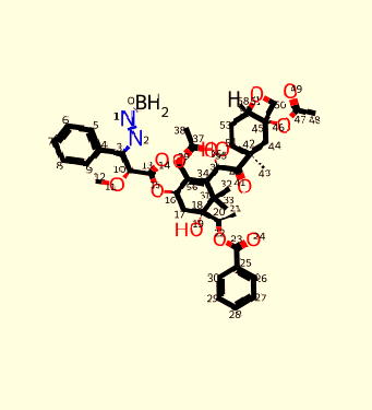 BN=N[C@H](c1ccccc1)[C@H](OC)C(=O)O[C@@H]1C[C@](O)([C@@H](C)OC(=O)c2ccccc2)C(C)(C)C([C@H](OC(C)=O)C(=O)[C@]2(C)C[C@@]3(OC(C)=O)CO[C@H]3C[C@H]2O)=C1C